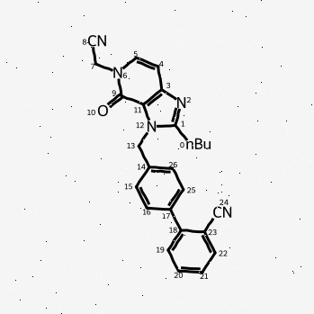 CCCCc1nc2ccn(CC#N)c(=O)c2n1Cc1ccc(-c2ccccc2C#N)cc1